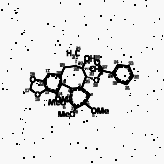 COc1cc2c(c(OC)c1OC)-c1c(cc3c(c1OC)OCO3)C[C@H](C)[C@@](C)(O)[C@@H]2OC(=O)c1ccccc1